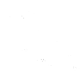 COC(=O)[C@@H](CC(=O)OC(C)(C)C)Cc1cccc[n+]1[O-]